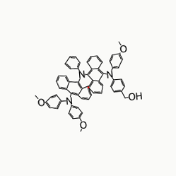 COc1ccc(N(c2ccc(CO)cc2)c2c3ccccc3c(N(c3ccccc3)c3c4ccccc4c(N(c4ccc(OC)cc4)c4ccc(OC)cc4)c4ccccc34)c3ccccc23)cc1